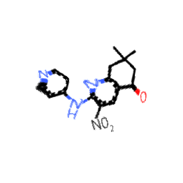 CC1(C)CC(=O)c2cc([N+](=O)[O-])c(Nc3ccncc3)nc2C1